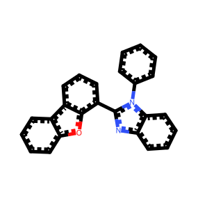 c1ccc(-n2c(-c3cccc4c3oc3ccccc34)nc3ccccc32)cc1